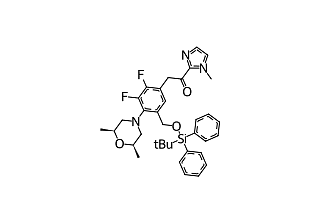 C[C@@H]1CN(c2c(CO[Si](c3ccccc3)(c3ccccc3)C(C)(C)C)cc(CC(=O)c3nccn3C)c(F)c2F)C[C@H](C)O1